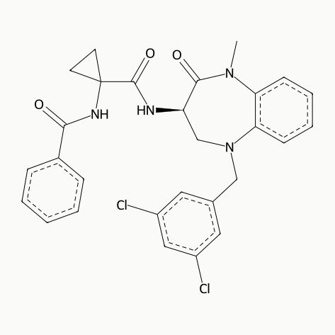 CN1C(=O)[C@H](NC(=O)C2(NC(=O)c3ccccc3)CC2)CN(Cc2cc(Cl)cc(Cl)c2)c2ccccc21